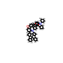 CC1(C)c2ccccc2-c2ccc(N(c3ccc4c(c3)C3(c5ccccc5-c5ccccc53)c3ccccc3-4)c3cccc4oc5ccc(-c6ccc7c(c6)c6ccccc6n7-c6ccccc6)cc5c34)cc21